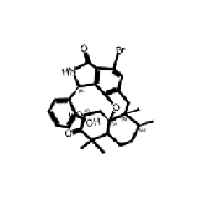 C[C@H]1CCC2C(C)(C)C(=O)[C@H](O)C[C@]23Oc2c(cc(Br)c4c2[C@@H](c2ccccc2O)NC4=O)C[C@]13C